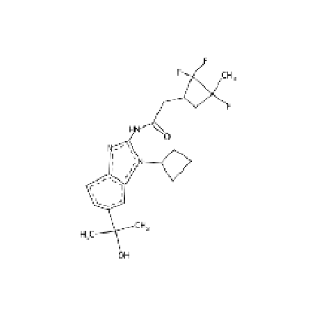 CC(C)(O)c1ccc2nc(NC(=O)CC3CC(C)(F)C3(F)F)n(C3CCC3)c2c1